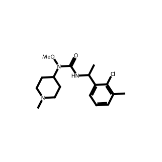 CON(C(=O)NC(C)c1cccc(C)c1Cl)C1CCN(C)CC1